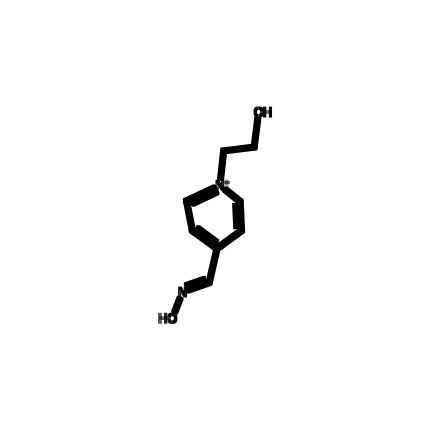 OCC[n+]1ccc(C=NO)cc1